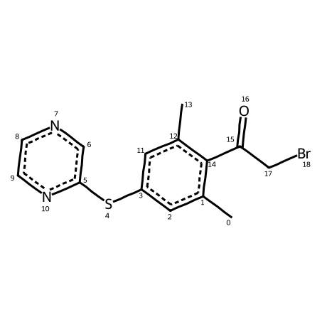 Cc1cc(Sc2cnccn2)cc(C)c1C(=O)CBr